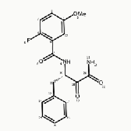 COc1ccc(F)c(C(=O)N[C@@H](Cc2ccccc2)C(=O)C(N)=O)c1